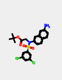 CC(C)(C)OC(=O)CN(c1ccc2ccc(N)cc2c1)S(=O)(=O)c1cc(Cl)cc(Cl)c1